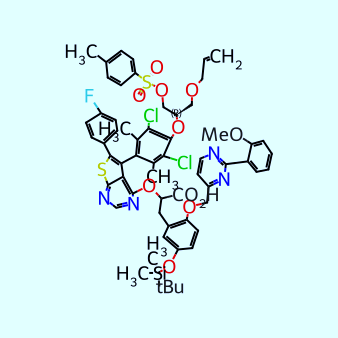 C=CCOC[C@H](COS(=O)(=O)c1ccc(C)cc1)Oc1c(Cl)c(C)c(-c2c(-c3ccc(F)cc3)sc3ncnc(OC(Cc4cc(O[Si](C)(C)C(C)(C)C)ccc4OCc4ccnc(-c5ccccc5OC)n4)C(=O)O)c23)c(C)c1Cl